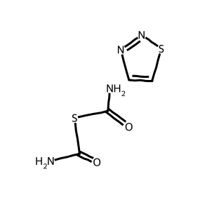 NC(=O)SC(N)=O.c1csnn1